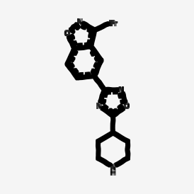 CC(C)c1noc2ccc(-c3noc(C4CCNCC4)n3)cc12